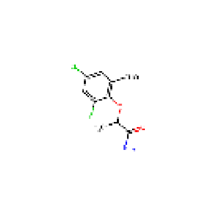 CC(Oc1c(Cl)cc(Cl)cc1C=O)C(N)=O